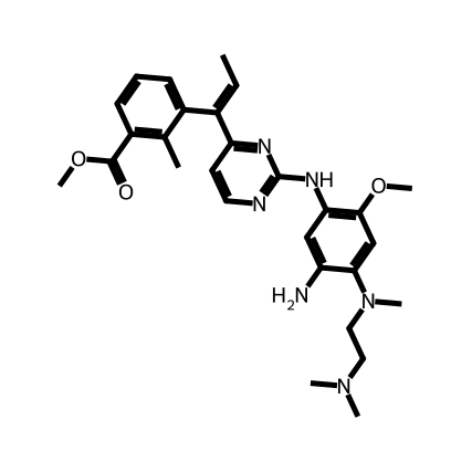 C/C=C(/c1ccnc(Nc2cc(N)c(N(C)CCN(C)C)cc2OC)n1)c1cccc(C(=O)OC)c1C